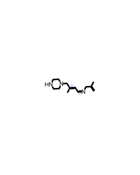 C=C(C)C/N=C\C=C(/C)CN1CCNCC1